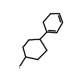 IC1CCC(C2=CC=CCC2)CC1